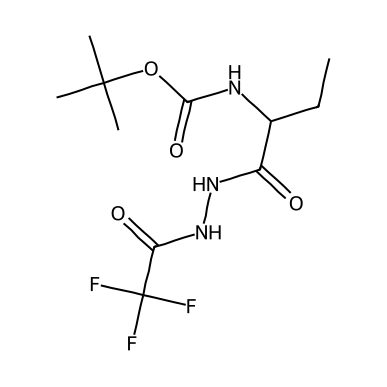 CCC(NC(=O)OC(C)(C)C)C(=O)NNC(=O)C(F)(F)F